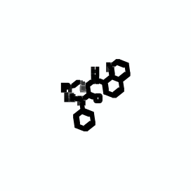 CCN(C(=O)[C@H](CC(C)C)Nc1cccc2cccnc12)c1ccccc1